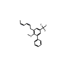 C/C=C\C=C/Cc1cc(C(F)(F)F)cc(-c2ccccc2)c1OC